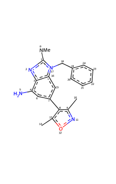 CNc1nc2c(N)cc(-c3c(C)noc3C)cc2n1Cc1ccccc1